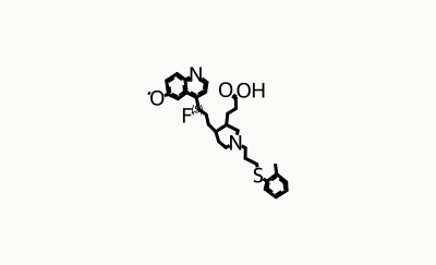 COc1ccc2nccc([C@@H](F)CCC3CCN(CCCSc4ccccc4C)CC3CCC(=O)O)c2c1